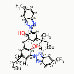 CC(C)(C)CC(C)(C)c1cc(Cc2cc(C(C)(C)CC(C)(C)C)cc(-n3nc4ccc(C(F)(F)F)cc4n3)c2O)c(O)c(-n2nc3ccc(C(F)(F)F)cc3n2)c1